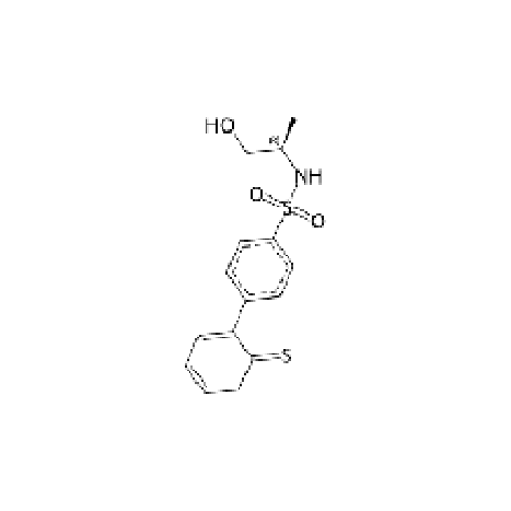 C[C@H](CO)NS(=O)(=O)c1ccc(C2=CC=CCC2=S)cc1